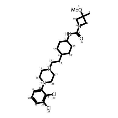 COC1(C)CN(C(=O)NC2CCC(CCN3CCN(c4cccc(Cl)c4Cl)CC3)CC2)C1